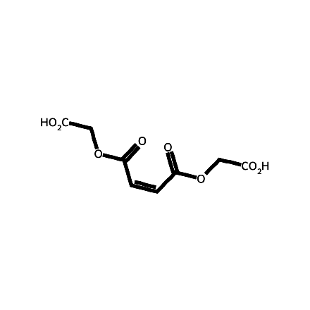 O=C(O)COC(=O)/C=C\C(=O)OCC(=O)O